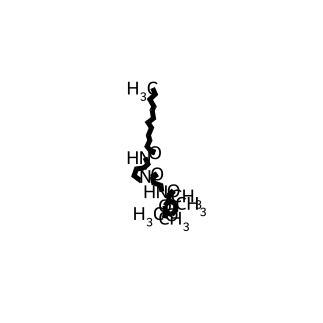 CCCCCCCCCCCC(=O)NCC1CCCN1C(=O)CCNC(=O)C1OC(C)(C)OCC1(C)C